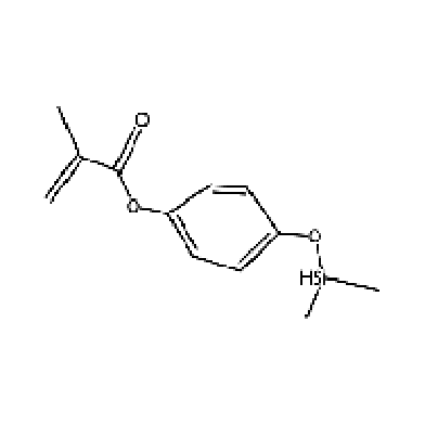 C=C(C)C(=O)Oc1ccc(O[SiH](C)C)cc1